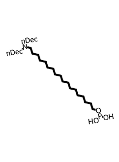 CCCCCCCCCCN(CCCCCCCCCC)CCCCCCCCCCCCCCCCCCOP(O)O